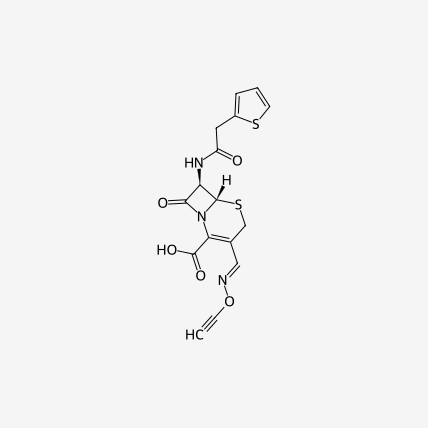 C#CON=CC1=C(C(=O)O)N2C(=O)[C@@H](NC(=O)Cc3cccs3)[C@@H]2SC1